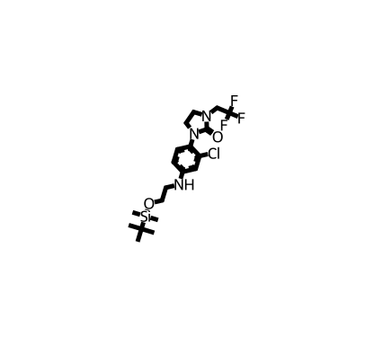 CC(C)(C)[Si](C)(C)OCCNc1ccc(N2CCN(CC(F)(F)F)C2=O)c(Cl)c1